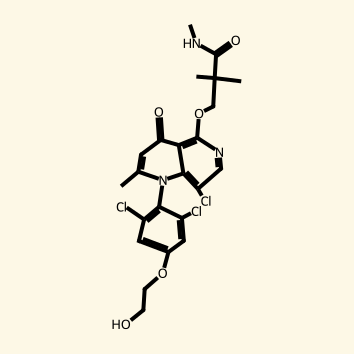 CNC(=O)C(C)(C)COc1ncc(Cl)c2c1c(=O)cc(C)n2-c1c(Cl)cc(OCCO)cc1Cl